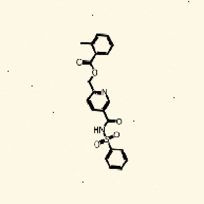 Cc1ccccc1C(=O)OCc1ccc(C(=O)NS(=O)(=O)c2ccccc2)cn1